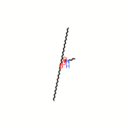 CCCCCCCCCCCCCCCCCCOCC(CCCCCCCCCCCCCCCCCC)OC(=O)NCCCC